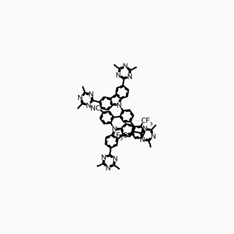 Cc1nc(C)nc(-c2ccc3c(c2)c2cc(-c4nc(C)nc(C)n4)ccc2n3-c2ccc(C#N)cc2-c2cc(-c3c(C(F)(F)F)cccc3C(F)(F)F)ccc2-n2c3ccc(-c4nc(C)nc(C)n4)cc3c3cc(-c4nc(C)nc(C)n4)ccc32)n1